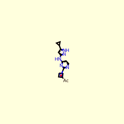 CC(=O)C12CC(C1)N(c1nccc(Nc3cc(C4CC4)[nH]n3)n1)C2